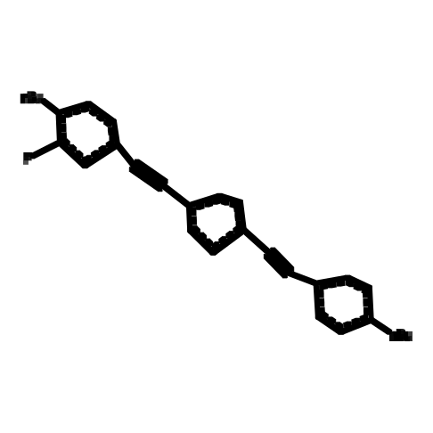 CCCCc1ccc(C#Cc2ccc(C#Cc3ccc(CCCC)c(F)c3)cc2)cc1